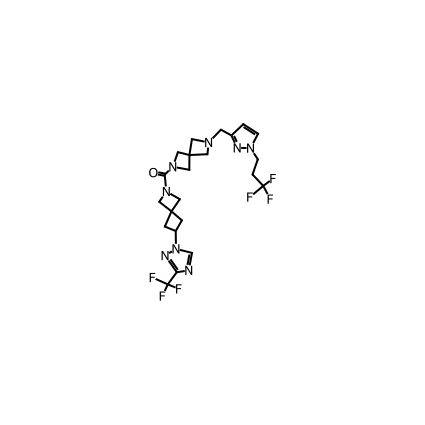 O=C(N1CC2(CC(n3cnc(C(F)(F)F)n3)C2)C1)N1CC2(CN(Cc3ccn(CCC(F)(F)F)n3)C2)C1